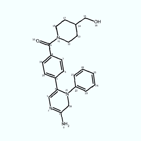 NC1=NC=C(c2ccc(C(=O)N3CCC(CO)CC3)cc2)N(c2ccccc2)C1